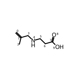 C=C(C)CNCCC(=O)O